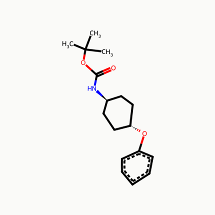 CC(C)(C)OC(=O)N[C@H]1CC[C@H](Oc2ccccc2)CC1